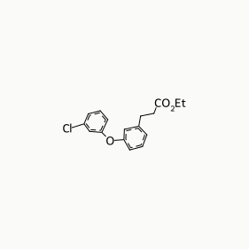 CCOC(=O)CCc1cccc(Oc2cccc(Cl)c2)c1